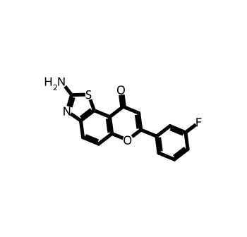 Nc1nc2ccc3oc(-c4cccc(F)c4)cc(=O)c3c2s1